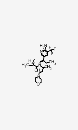 C=C(CCN1CCOCC1)N(/C=C(\CC)c1cnc(N)c(C(F)(F)F)c1)C(=C)C(C)CC